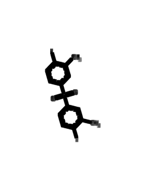 Cc1cc(S(=O)(=O)c2ccc(I)c(C)c2)ccc1I